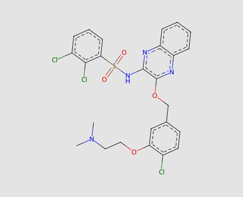 CN(C)CCOc1cc(COc2nc3ccccc3nc2NS(=O)(=O)c2cccc(Cl)c2Cl)ccc1Cl